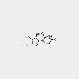 O=c1ccn([C@H]2O[C@H](CO)[C@@H](O)[C@H]2O)c(=O)[nH]1